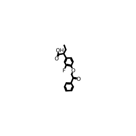 CCC(C(=O)O)c1ccc(OCC(=O)c2ccccc2)c(F)c1